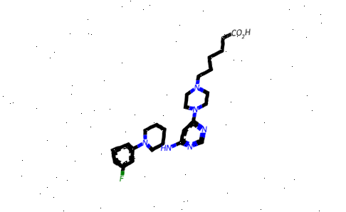 O=C(O)CCCCCN1CCN(c2cc(N[C@@H]3CCCN(c4cccc(F)c4)C3)ncn2)CC1